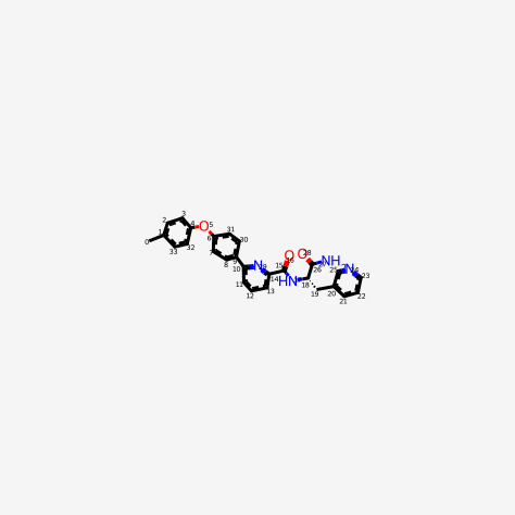 Cc1ccc(Oc2ccc(-c3cccc(C(=O)N[C@@H](Cc4cccnc4)C(N)=O)n3)cc2)cc1